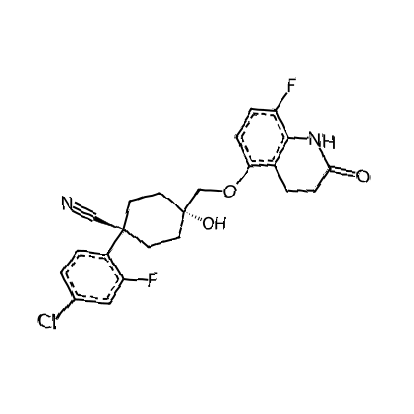 N#C[C@]1(c2ccc(Cl)cc2F)CC[C@](O)(COc2ccc(F)c3c2CCC(=O)N3)CC1